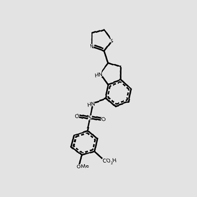 COc1ccc(S(=O)(=O)Nc2cccc3c2NC(C2=NCCS2)C3)cc1C(=O)O